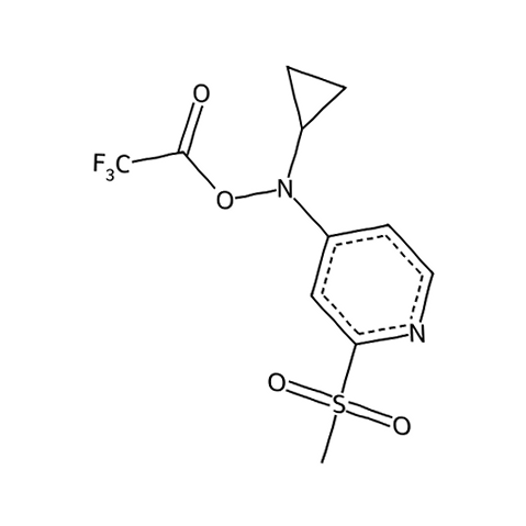 CS(=O)(=O)c1cc(N(OC(=O)C(F)(F)F)C2CC2)ccn1